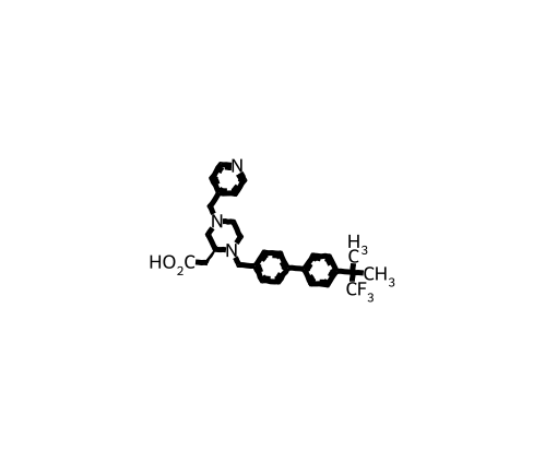 CC(C)(c1ccc(-c2ccc(CN3CCN(Cc4ccncc4)C[C@@H]3CC(=O)O)cc2)cc1)C(F)(F)F